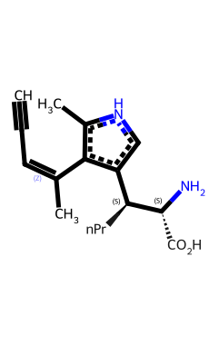 C#C/C=C(/C)c1c([C@H](CCC)[C@H](N)C(=O)O)c[nH]c1C